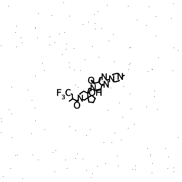 CC(CC(F)(F)F)C(=O)N1CCC(O)(Cn2ccc3nc(N4CCN(C)CC4)ncc3c2=O)C2(CCCC2)C1